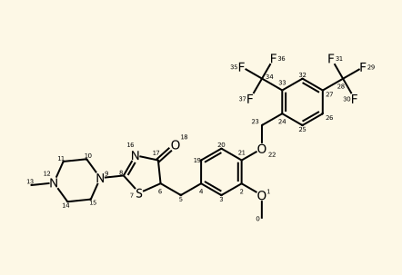 COc1cc(CC2SC(N3CCN(C)CC3)=NC2=O)ccc1OCc1ccc(C(F)(F)F)cc1C(F)(F)F